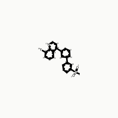 CS(=O)(=O)c1cccc(-c2cccc(-c3ccnc4c(F)cccc34)c2)c1